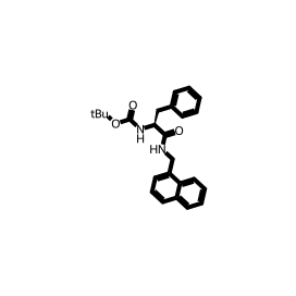 CC(C)(C)OC(=O)N[C@@H](Cc1ccccc1)C(=O)NCc1cccc2ccccc12